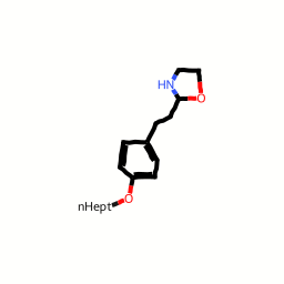 CCCCCCCOc1ccc(CCC2NCCO2)cc1